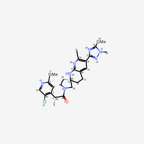 COc1cc([C@@H](C)C(=O)N2CC[C@]3(CCc4cc(-c5nc(OC)n(C)n5)c(C)nc4N3)C2)c(Cl)cn1